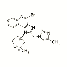 Cc1cn(Cc2nc3c(Br)nc4ccccc4c3n2[C@@H]2CCO[C@H](C)C2)nn1